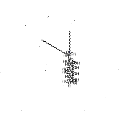 CCCCCCCCCCCCC/C=C/[C@@H](O)[C@H](CO[C@@H]1OC(CO)[C@@H](O[C@@H]2OC(CO)[C@H](O)[C@H](O[C@H]3OC(CO)[C@H](O)[C@H](O[C@@H]4OC(CO)[C@@H](O)[C@H](O)C4NC(C)=O)C3O)C2O)[C@H](O)C1O)NC(=O)CCCCCCCCCCCCCCCCCCC